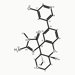 CC[C@@]12COCC[C@H]1Oc1ccc(-c3cncc(Cl)c3)cc1C21N=C(N)N(C)C1=O